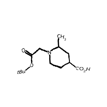 CC1CC(C(=O)O)CCN1CC(=O)OC(C)(C)C